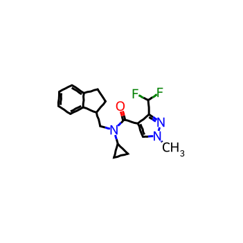 Cn1cc(C(=O)N(CC2CCc3ccccc32)C2CC2)c(C(F)F)n1